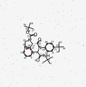 CC(C)(C)NC(=O)C(c1cccnc1)N(C(=O)[C@@H]1CCCN1C(=O)OC(C)(C)C)c1ccc(C(C)(C)C)cc1